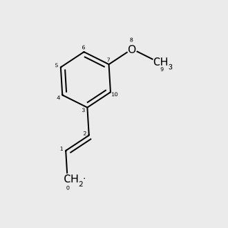 [CH2]C=Cc1cccc(OC)c1